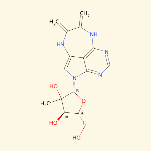 C=C1Nc2cn([C@@H]3O[C@H](CO)[C@@H](O)C3(C)O)c3ncnc(c23)NC1=C